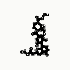 CC(C)(C)OC(=O)Nc1nc2c(-c3c(Cl)cc4c(c3F)OC[C@H]3CN(C(=O)OC(C)(C)C)CCN3C4=O)ccc(F)c2s1